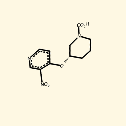 O=C(O)N1CCC[C@H](Oc2ccncc2[N+](=O)[O-])C1